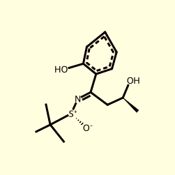 C[C@H](O)C/C(=N\[S@+]([O-])C(C)(C)C)c1ccccc1O